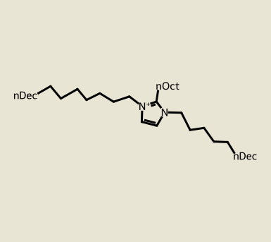 CCCCCCCCCCCCCCCCC[n+]1ccn(CCCCCCCCCCCCCCC)c1CCCCCCCC